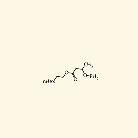 CCCCCCCCOC(=O)CC(C)OP